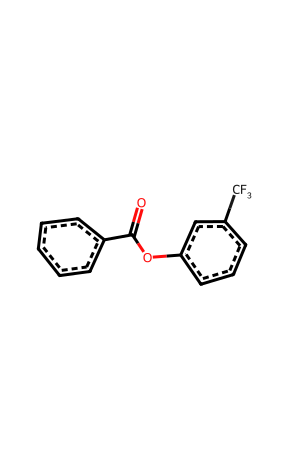 O=C(Oc1cccc(C(F)(F)F)c1)c1ccccc1